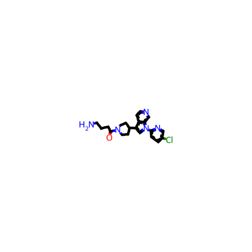 NCCCC(=O)N1CCC(c2cn(-c3ccc(Cl)cn3)c3cnccc23)CC1